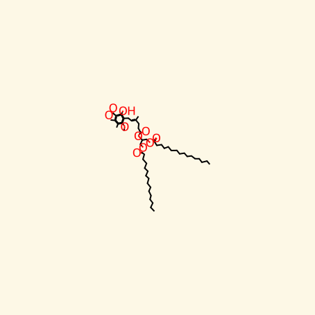 CCCCCCCCCCCCCCCC(=O)OCC(COC(=O)CCCCCCCCCCCCCCC)OC(=O)CC/C(C)=C/Cc1c(O)c2c(c(C)c1OC)COC2=O